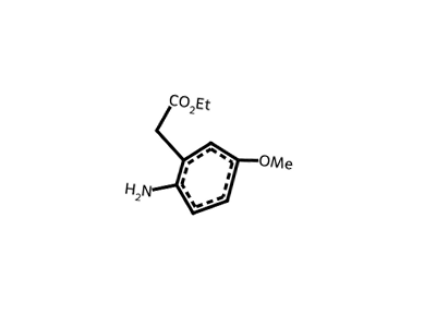 CCOC(=O)Cc1cc(OC)ccc1N